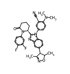 CC1=NOC(C)C1c1ccc2c(c1)nc([C@@H]1CCCC(=O)N1c1ccc(F)c(F)c1)n2-c1ccc(N(C)C)c(C#N)c1